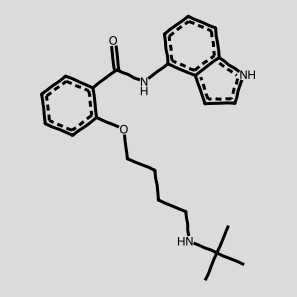 CC(C)(C)NCCCCOc1ccccc1C(=O)Nc1cccc2[nH]ccc12